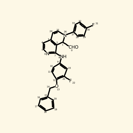 O=CC1c2c(ccnc2Nc2ccc(OCc3ccccc3)c(F)c2)C=CN1c1ccc(F)cc1